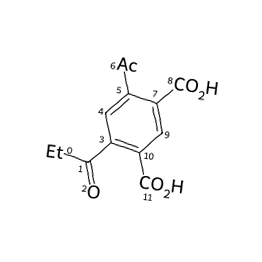 CCC(=O)c1cc(C(C)=O)c(C(=O)O)cc1C(=O)O